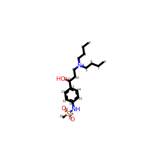 CCCCN(CCCC)CCC(O)c1ccc(NS(C)(=O)=O)cc1